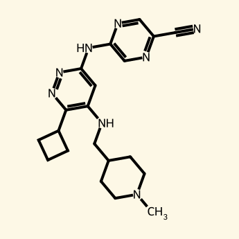 CN1CCC(CNc2cc(Nc3cnc(C#N)cn3)nnc2C2CCC2)CC1